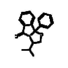 CC(C)C1COC2(c3ccccc3)c3ccccc3C(=O)N12